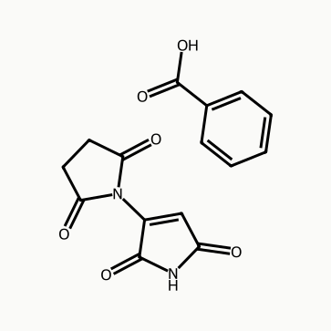 O=C(O)c1ccccc1.O=C1C=C(N2C(=O)CCC2=O)C(=O)N1